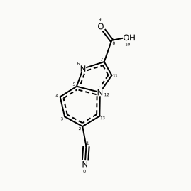 N#Cc1ccc2nc(C(=O)O)cn2c1